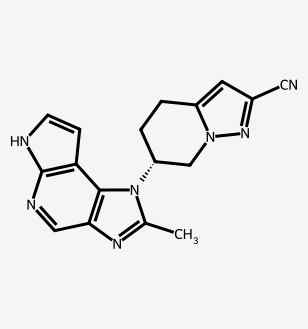 Cc1nc2cnc3[nH]ccc3c2n1[C@@H]1CCc2cc(C#N)nn2C1